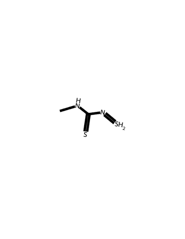 CNC(=S)N=[SH2]